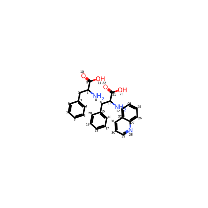 NC(Cc1ccccc1)C(=O)O.NC(Cc1ccccc1)C(=O)O.c1ccc2ncccc2c1